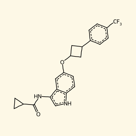 O=C(Nc1c[nH]c2ccc(OC3CC(c4ccc(C(F)(F)F)cc4)C3)cc12)C1CC1